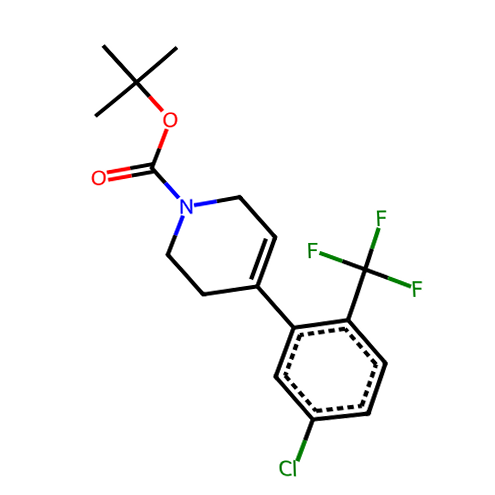 CC(C)(C)OC(=O)N1CC=C(c2cc(Cl)ccc2C(F)(F)F)CC1